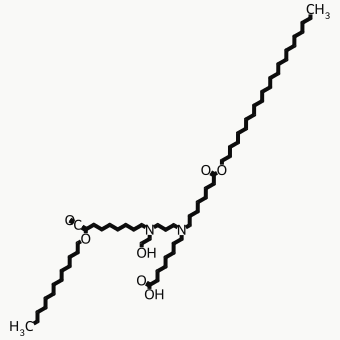 CCCCCCCCCCCCCCCCCCCCCCCOC(=O)CCCCCCCN(CCCCCCCC(=O)O)CCCN(CCO)CCCCCCCC(=C=O)OCCCCCCCCCCCCC